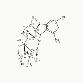 Cc1cc(O)cc2c1O[C@@]1(C2)[C@@H](C)CC[C@@H]2[C@@]3(C)CC[C@H](O)C(C)(C)[C@@H]3CC[C@]21C